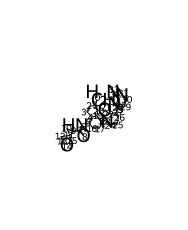 Cc1ccc2c(NC(=O)C3CC34CCOC4)cccc2c1Oc1ncccc1-c1ccnc(N)n1